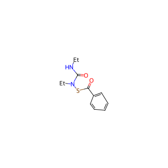 CCNC(=O)N(CC)SC(=O)c1ccccc1